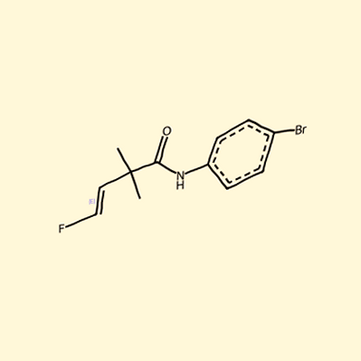 CC(C)(/C=C/F)C(=O)Nc1ccc(Br)cc1